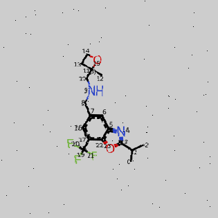 CC(C)c1nc2cc(CNC[C@]3(C)CCO3)cc(C(F)(F)F)c2o1